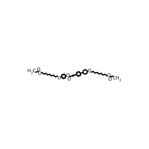 C=CC(=O)OCCCCCCCCCOc1ccc(OC(=O)C#Cc2ccc(C3CCC(OCCCCCCCCCOC(=O)C=C)CC3)cc2)cc1